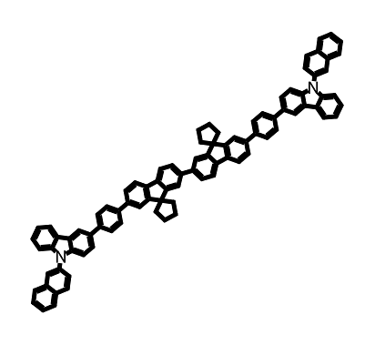 c1ccc2cc(-n3c4ccccc4c4cc(-c5ccc(-c6ccc7c(c6)C6(CCCC6)c6cc(-c8ccc9c(c8)C8(CCCC8)c8cc(-c%10ccc(-c%11ccc%12c(c%11)c%11ccccc%11n%12-c%11ccc%12ccccc%12c%11)cc%10)ccc8-9)ccc6-7)cc5)ccc43)ccc2c1